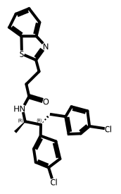 C[C@@H](NC(=O)CCc1nc2ccccc2s1)[C@H](Cc1ccc(Cl)cc1)c1ccc(Cl)cc1